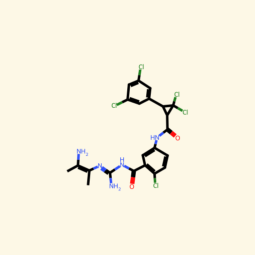 C/C(N)=C(C)/N=C(\N)NC(=O)c1cc(NC(=O)C2C(c3cc(Cl)cc(Cl)c3)C2(Cl)Cl)ccc1Cl